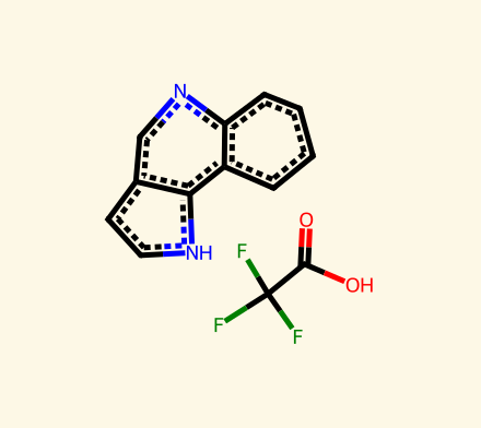 O=C(O)C(F)(F)F.c1ccc2c(c1)ncc1cc[nH]c12